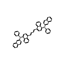 C(C=Cc1ccc(N(c2ccccc2)c2ccc3ccccc3c2)c2ccccc12)=Cc1ccc(N(c2ccccc2)c2ccc3ccccc3c2)c2ccccc12